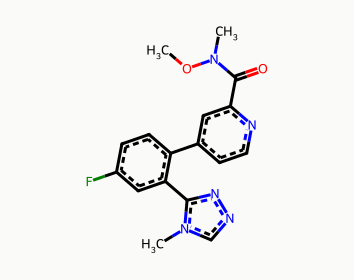 CON(C)C(=O)c1cc(-c2ccc(F)cc2-c2nncn2C)ccn1